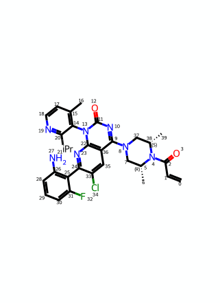 C=CC(=O)N1[C@H](C)CN(c2nc(=O)n(-c3c(C)ccnc3C(C)C)c3nc(-c4c(N)cccc4F)c(Cl)cc23)C[C@@H]1C